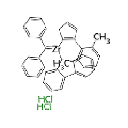 Cc1cccc(C)c1C1=[C]([Zr](=[C](c2ccccc2)c2ccccc2)[CH]2c3ccccc3-c3ccccc32)CC=C1.Cl.Cl